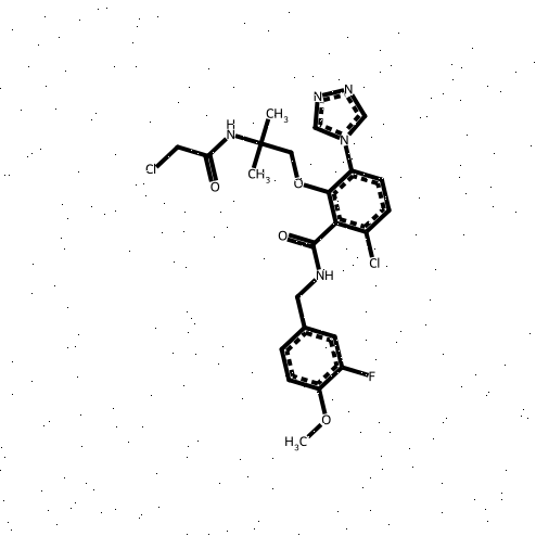 COc1ccc(CNC(=O)c2c(Cl)ccc(-n3cnnc3)c2OCC(C)(C)NC(=O)CCl)cc1F